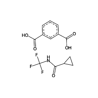 O=C(NC(F)(F)F)C1CC1.O=C(O)c1cccc(C(=O)O)c1